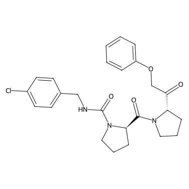 O=C(COc1ccccc1)[C@@H]1CCCN1C(=O)[C@H]1CCCN1C(=O)NCc1ccc(Cl)cc1